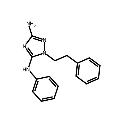 Nc1nc(Nc2ccccc2)n(CCc2ccccc2)n1